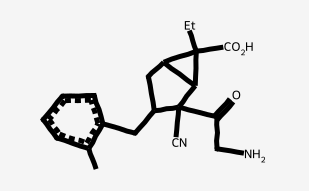 CCC1(C(=O)O)C2CC(Cc3ccccc3C)C(C#N)(C(=O)CN)C21